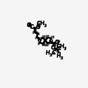 COC(=C=O)/C=C/CN1CCC2(CCN(C(=O)OC(C)(C)C)C2)C1